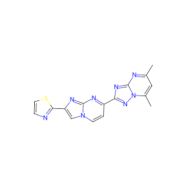 Cc1cc(C)n2nc(-c3ccn4cc(-c5nccs5)nc4n3)nc2n1